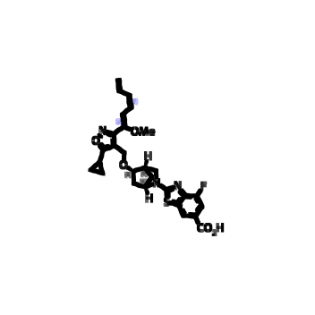 C=C/C=C\C=C(/OC)c1noc(C2CC2)c1CO[C@@H]1C[C@@H]2C[C@H]1CN2c1nc2c(F)cc(C(=O)O)cc2s1